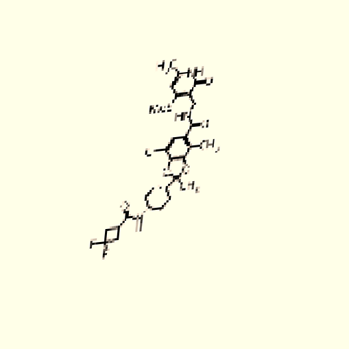 CSc1cc(C)[nH]c(=O)c1CNC(=O)c1cc(Cl)c2c(c1C)O[C@@](C)([C@H]1CC[C@@H](NC(=O)C3CC(F)(F)C3)CC1)O2